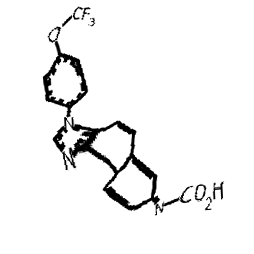 O=C(O)/N=C1/C=CC2C(=C1)C=Cc1c2ncn1-c1ccc(OC(F)(F)F)cc1